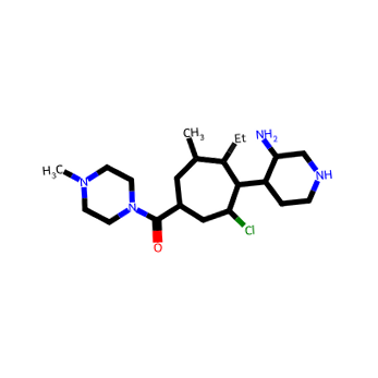 CCC1C(C)CC(C(=O)N2CCN(C)CC2)CC(Cl)C1C1CCNCC1N